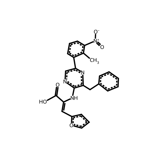 Cc1c(-c2cnc(N/C(=C\c3ccco3)C(=O)O)c(Cc3ccccc3)n2)cccc1[N+](=O)[O-]